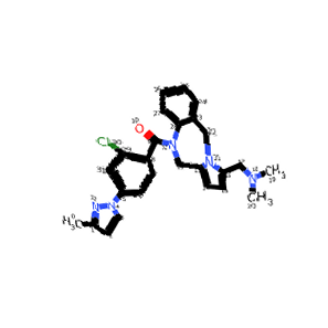 Cc1ccn(-c2ccc(C(=O)N3Cc4ccc(CN(C)C)n4Cc4ccccc43)c(Cl)c2)n1